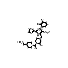 CCOC(=O)C1=C(CN2CCN(C(=O)N3CCC(CC(=O)O)CC3)[C@H](C)C2)NC(c2nccs2)=N[C@H]1c1cccc(F)c1Cl